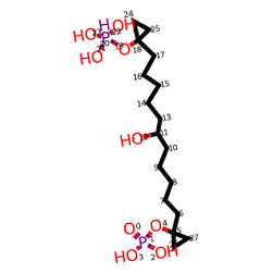 O=P(O)(O)OC1(CCCCCC(O)CCCCCC2(O[PH](O)(O)O)CC2)CC1